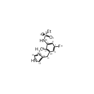 CCS(=O)(=O)Nc1cc(F)cc(Cc2c[nH]cn2)c1C